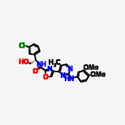 COc1ccc(Nc2ncc(C)c(-c3coc(C(=O)N[C@H](CO)c4cccc(Cl)c4)n3)n2)cc1OC